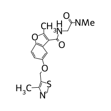 CNC(=O)CNC(=O)c1c(C)oc2ccc(OCc3scnc3C)cc12